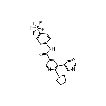 O=C(Nc1ccc(S(F)(F)(F)(F)F)cc1)c1cnc(N2CCCC2)c(-c2cncnc2)c1